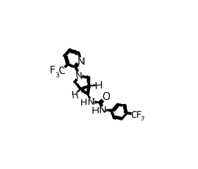 O=C(Nc1ccc(C(F)(F)F)cc1)N[C@H]1[C@@H]2CN(c3ncccc3C(F)(F)F)C[C@@H]21